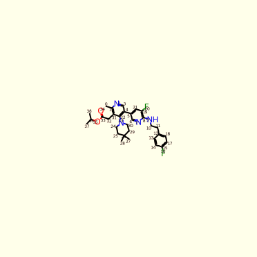 Cc1ncc(-c2cnc(NCCc3ccc(F)cc3)c(F)c2)c(N2CCC(C)(C)CC2)c1CC(=O)OC(C)C